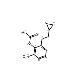 CCCC(=O)Oc1c(OCC2CO2)cccc1[N+](=O)[O-]